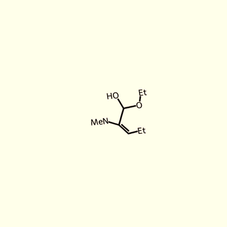 CC/C=C(/NC)C(O)OCC